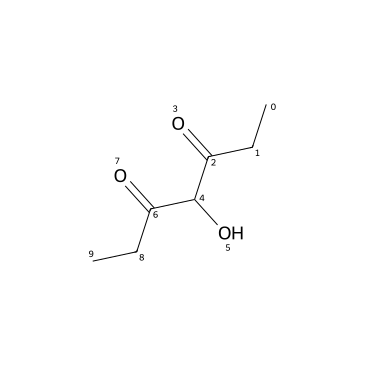 CCC(=O)C(O)C(=O)CC